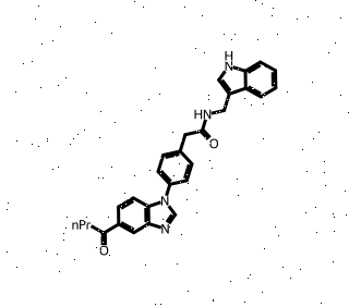 CCCC(=O)c1ccc2c(c1)ncn2-c1ccc(CC(=O)NCc2c[nH]c3ccccc23)cc1